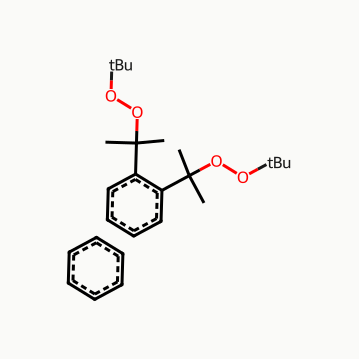 CC(C)(C)OOC(C)(C)c1ccccc1C(C)(C)OOC(C)(C)C.c1ccccc1